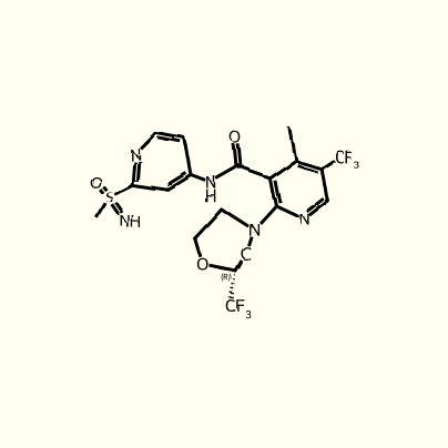 Cc1c(C(F)(F)F)cnc(N2CCO[C@@H](C(F)(F)F)C2)c1C(=O)Nc1ccnc(S(C)(=N)=O)c1